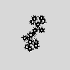 c1ccc(N(c2cc(N3CCCc4ccccc43)cc(N3CCCc4ccccc43)c2)c2ccc3c(c2)oc2cc(N(c4ccccc4)c4cc(N5CCCc6ccccc65)cc(N5CCCc6ccccc65)c4)ccc23)cc1